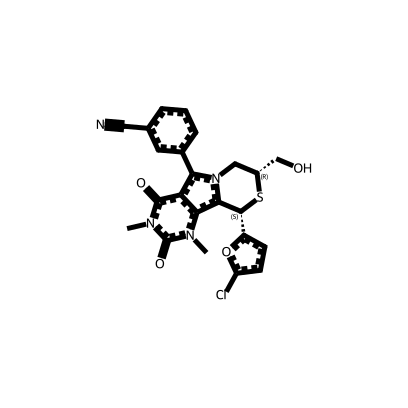 Cn1c(=O)c2c(-c3cccc(C#N)c3)n3c(c2n(C)c1=O)[C@@H](c1ccc(Cl)o1)S[C@@H](CO)C3